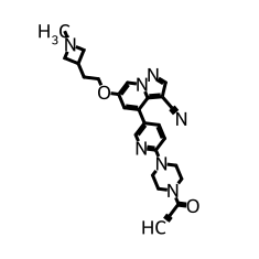 C#CC(=O)N1CCN(c2ccc(-c3cc(OCCC4CN(C)C4)cn4ncc(C#N)c34)cn2)CC1